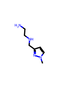 Cn1ccc(CNCCN)n1